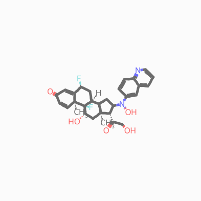 C[C@]12C[C@H](O)[C@@]3(F)[C@@H](C[C@H](F)C4=CC(=O)C=C[C@@]43C)C1CC(N(O)c1ccc3ncccc3c1)[C@@H]2C(=O)CO